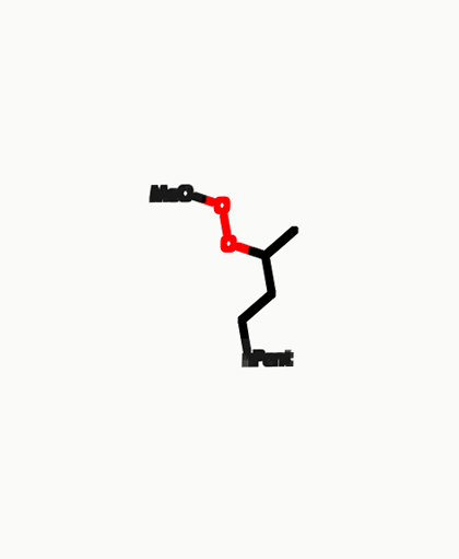 CCCCCCCC(C)OOOC